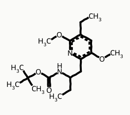 CCc1cc(OC)c(CC(CC)NC(=O)OC(C)(C)C)nc1OC